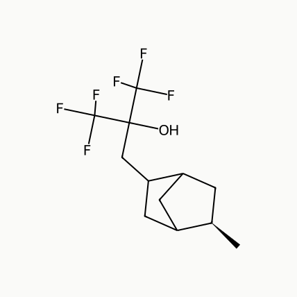 C[C@@H]1CC2CC1CC2CC(O)(C(F)(F)F)C(F)(F)F